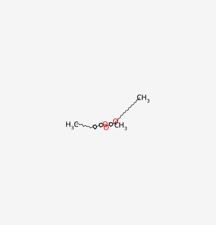 CCCCCCCCCCCCCCCCCCOC(C)c1ccc(C(=O)Oc2ccc(-c3ccc(CCCCCCCCC)cc3)cc2)cc1